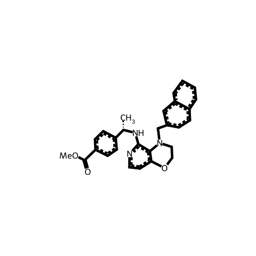 COC(=O)c1ccc([C@H](C)Nc2nccc3c2N(Cc2ccc4ccccc4c2)CCO3)cc1